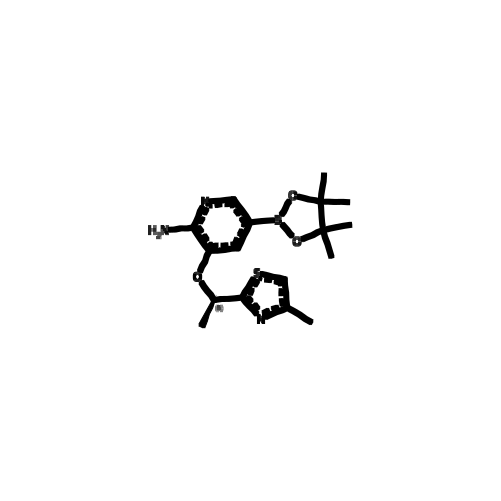 Cc1csc([C@@H](C)Oc2cc(B3OC(C)(C)C(C)(C)O3)cnc2N)n1